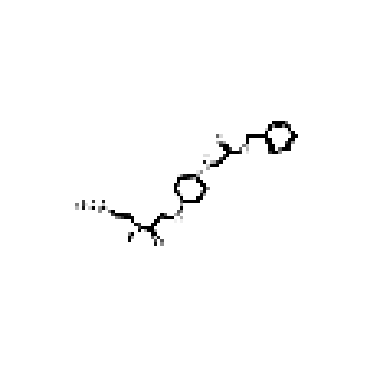 CCOC(=O)CCN(C)C(=O)CO[C@H]1CC[C@H](NCC(=O)OCc2ccccc2)CC1